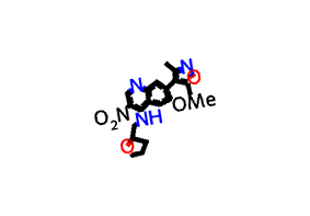 COc1cc2c(NCC3CCCO3)c([N+](=O)[O-])cnc2cc1-c1c(C)noc1C